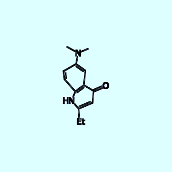 CCc1cc(=O)c2cc(N(C)C)ccc2[nH]1